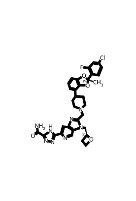 C[C@]1(c2ccc(Cl)cc2F)Oc2cccc(C3CCN(Cc4nc5cc(-c6nnc(C(N)=O)[nH]6)ncc5n4C[C@@H]4CCO4)CC3)c2O1